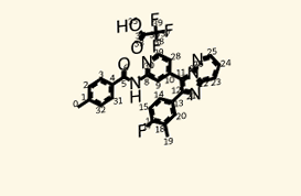 Cc1ccc(C(=O)Nc2cc(-c3c(-c4ccc(F)c(C)c4)nc4cccnn34)ccn2)cc1.O=C(O)C(F)(F)F